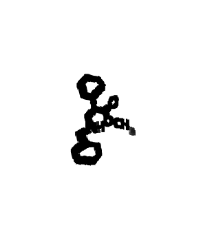 COC(=O)C(CNCc1ccccc1)c1ccccc1